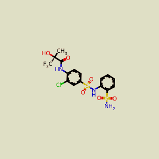 C[C@@](O)(C(=O)Nc1ccc(S(=O)(=O)Nc2ccccc2S(N)(=O)=O)cc1Cl)C(F)(F)F